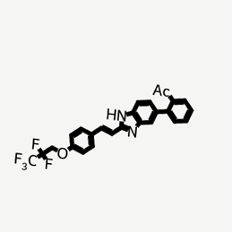 CC(=O)c1ccccc1-c1ccc2[nH]c(C=Cc3ccc(OCC(F)(F)C(F)(F)F)cc3)nc2c1